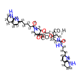 O=C(O)CC1(OCCOC2CN(C(=O)CCCCc3ccc4c(n3)NCCC4)CC[C@@]2(O)CC(=O)O)CCN(C(=O)NCCCc2ccc3c(n2)NCCC3)CC1